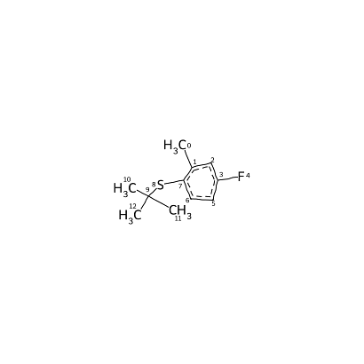 Cc1cc(F)ccc1SC(C)(C)C